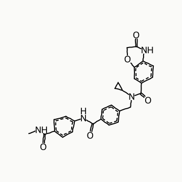 CNC(=O)c1ccc(NC(=O)c2ccc(CN(C(=O)c3ccc4c(c3)OCC(=O)N4)C3CC3)cc2)cc1